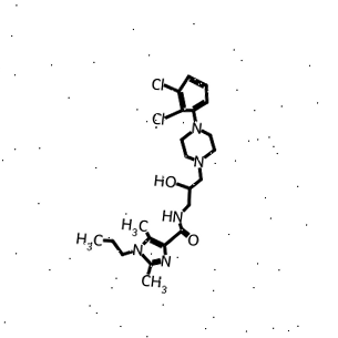 CCCn1c(C)nc(C(=O)NCC(O)CN2CCN(c3cccc(Cl)c3Cl)CC2)c1C